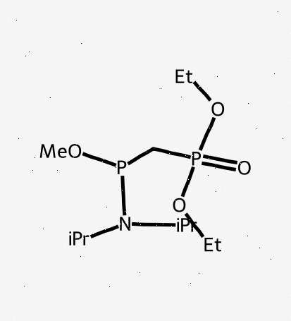 CCOP(=O)(CP(OC)N(C(C)C)C(C)C)OCC